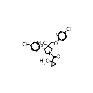 CC1(C(=O)N2C[C@H](c3ccc(Cl)cc3)[C@@](C)(COc3ccc(Cl)cn3)C2)CC1